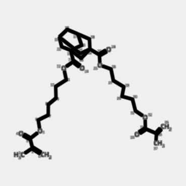 C=C(C)C(=O)OCCCCCCOC(=O)C12CC3CC(C1)CC(C(=O)OCCCCCCOC(=O)C(=C)C)(C3)C2